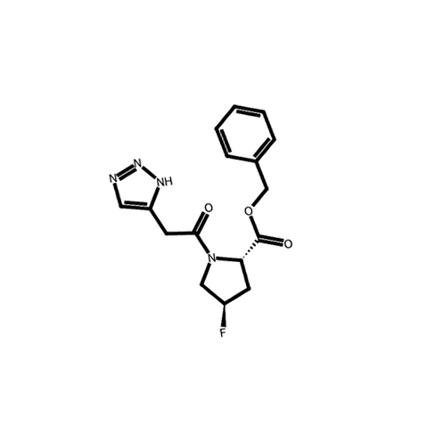 O=C(OCc1ccccc1)[C@@H]1C[C@@H](F)CN1C(=O)Cc1cnn[nH]1